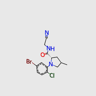 CC1C[C@@H](C(=O)NCC#N)N(c2cc(Br)ccc2Cl)C1